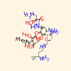 CN[C@@H]1[C@@H](O)[C@@H](O[C@@H]2[C@@H](O)[C@H](C3OC(CNCCC(N)C4CC4)=CC[C@H]3N)[C@@H](N)C[C@H]2NC(=O)[C@@H](O)CN)OC[C@]1(C)O